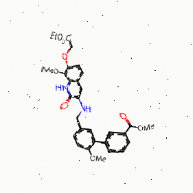 CCOC(=O)COc1ccc2cc(NCc3ccc(OC)c(-c4cccc(C(=O)OC)c4)c3)c(=O)[nH]c2c1OC